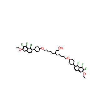 CCOc1cc2ccc(C3CCC(OCCCCCC(CCO)CCCCCOC4CCC(c5ccc6cc(OCC)c(F)c(F)c6c5F)CC4)CC3)c(F)c2c(F)c1F